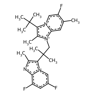 Cc1cc2n(cc1F)c(C(C)(C)C)c(C)[n+]2CC(C)(C)c1c(C)nc2c(F)cc(F)cn12